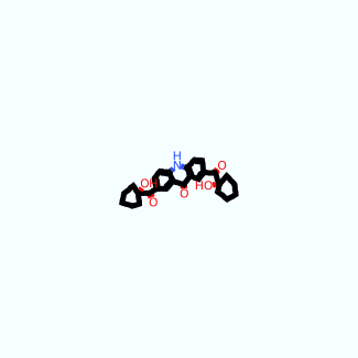 O=C(c1ccc2[nH]c3ccc(C(=O)C4(O)CCCCC4)cc3c(=O)c2c1)C1(O)CCCCC1